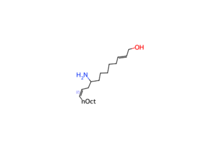 CCCCCCCC/C=C\CC(N)CCCCCC=CCO